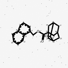 O=C(OCc1cccc2ccccc12)C12CC3CC(C1)C(O)C(C3)C2